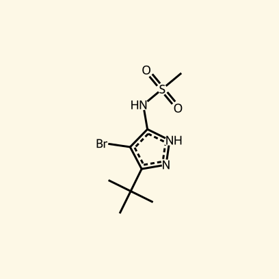 CC(C)(C)c1n[nH]c(NS(C)(=O)=O)c1Br